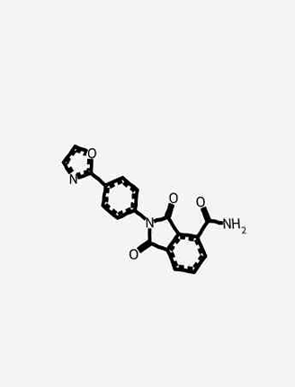 NC(=O)c1cccc2c1C(=O)N(c1ccc(-c3ncco3)cc1)C2=O